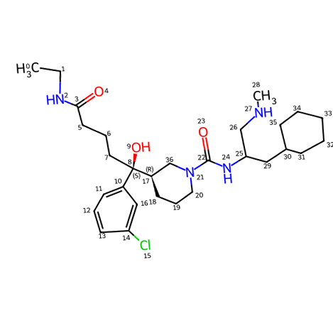 CCNC(=O)CCC[C@@](O)(c1cccc(Cl)c1)[C@@H]1CCCN(C(=O)NC(CNC)CC2CCCCC2)C1